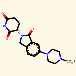 O=C1CC[C@H](N2Cc3ccc(N4CCN(C(=O)O)CC4)cc3C2=O)C(=O)N1